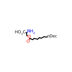 CCCCCCCCCCCCCCCCCC(=O)OCC(N)C(=O)O